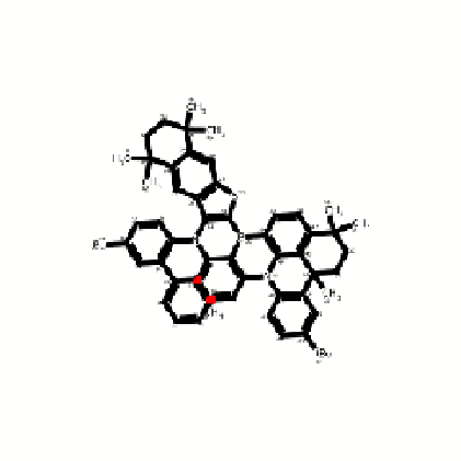 Cc1cc2c3c(c1)N(c1ccc(C(C)(C)C)cc1-c1ccccc1)c1c(sc4cc5c(cc14)C(C)(C)CCC5(C)C)B3c1ccc3c4c1N2c1ccc(C(C)(C)C)cc1C4(C)CCC3(C)C